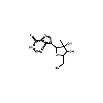 CC1(O)C(c2coc3c(=O)[nH]cnc23)OC(CO)C1O